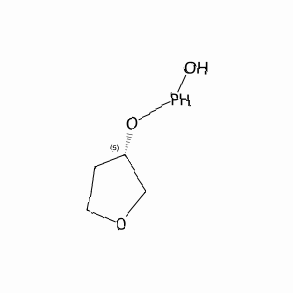 OPO[C@H]1CCOC1